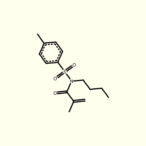 C=C(C)C(=O)N(CCCC)S(=O)(=O)c1ccc(C)cc1